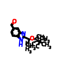 CC(O[Si](C)(C)C(C)(C)C)c1nc2cc(C=O)ccc2[nH]1